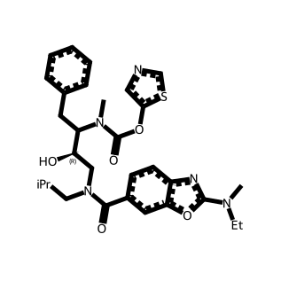 CCN(C)c1nc2ccc(C(=O)N(CC(C)C)C[C@@H](O)C(Cc3ccccc3)N(C)C(=O)Oc3cncs3)cc2o1